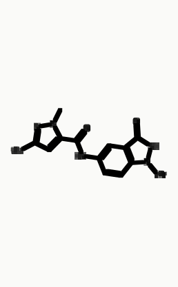 CCCn1[nH]c(=O)c2cc(NC(=O)c3cc(C(C)(C)C)nn3C)ccc21